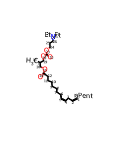 CCCCC/C=C\C/C=C\CCCCCCCC(=O)OCC(C)COC(=O)OCCCN(CC)CC